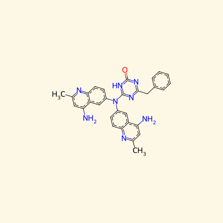 Cc1cc(N)c2cc(N(c3ccc4nc(C)cc(N)c4c3)c3nc(Cc4ccccc4)nc(=O)[nH]3)ccc2n1